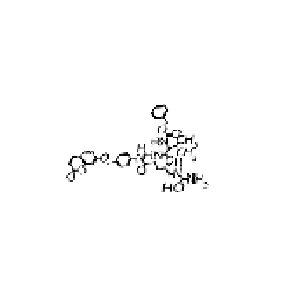 CC(C)C(NC(=O)OCc1ccccc1)C(=O)NC(CCCNC(N)O)C(=O)Nc1ccc(COc2ccc3ccc(=O)oc3c2)cc1